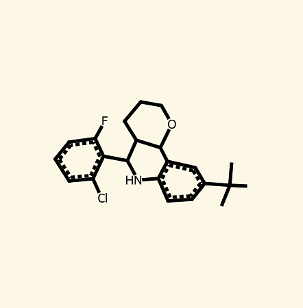 CC(C)(C)c1ccc2c(c1)C1OCCCC1C(c1c(F)cccc1Cl)N2